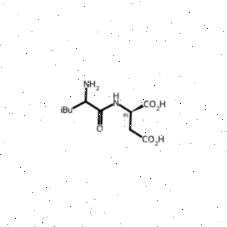 CCC(C)C(N)C(=O)N[C@H](CC(=O)O)C(=O)O